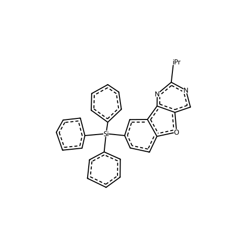 CC(C)c1ncc2oc3ccc([Si](c4ccccc4)(c4ccccc4)c4ccccc4)cc3c2n1